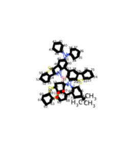 CC(C)(C)c1ccc(N2c3cc4c(cc3B3c5c(cc6c(sc7ccccc76)c52)-c2cc(N(c5ccccc5)c5ccccc5)cc5c6sc7ccccc7c6n3c25)Sc2ccccc2S4)c(-c2ccccc2)c1